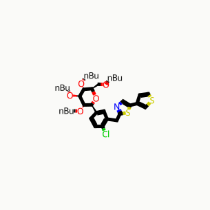 CCCCOC[C@H]1O[C@@H](c2ccc(Cl)c(Cc3ncc(-c4ccsc4)s3)c2)[C@H](OCCCC)[C@@H](OCCCC)[C@@H]1OCCCC